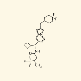 CC(CC(=O)N[C@@H](c1cnn2cc(CC3CCC(F)(F)CC3)nc2c1)C1CCC1)C(F)(F)F